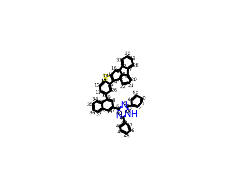 c1ccc(C2=NC(c3cc(-c4ccc5sc6cc7c8c(cccc8c6c5c4)-c4ccccc4-7)c4ccccc4c3)=NC(c3ccccc3)N2)cc1